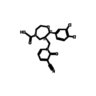 N#Cc1cccn(C[C@H]2CN(C(=O)O)CCO[C@H]2c2ccc(Cl)c(Cl)c2)c1=O